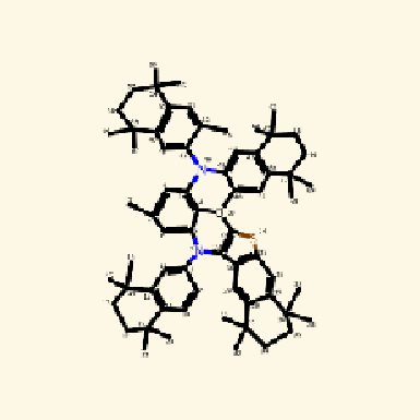 Cc1cc2c3c(c1)N(c1ccc4c(c1)C(C)(C)CCC4(C)C)c1c(sc4cc5c(cc14)C(C)(C)CCC5(C)C)B3c1cc3c(cc1N2c1cc2c(cc1C)C(C)(C)CCC2(C)C)C(C)(C)CCC3(C)C